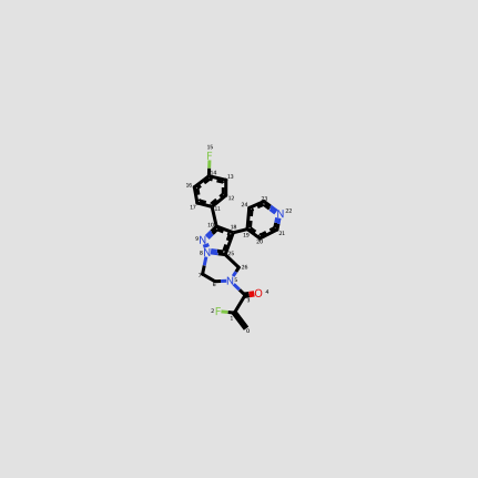 C=C(F)C(=O)N1CCn2nc(-c3ccc(F)cc3)c(-c3ccncc3)c2C1